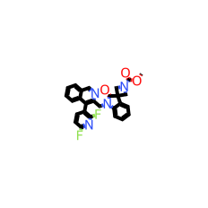 COC(=O)N1CC2(C1)C(=O)N(Cc1ncc3ccccc3c1-c1ccc(F)nc1F)c1ccccc12